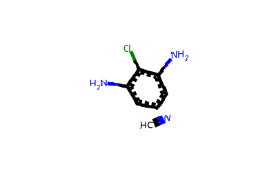 C#N.Nc1cccc(N)c1Cl